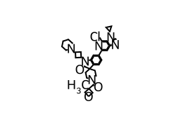 CC1(C(=O)N2CCC3(CC2)C(=O)N(C2CC(N4CCCCC4)C2)c2cc(-c4cc5ncn(C6CC6)c5c(Cl)n4)ccc23)COC1